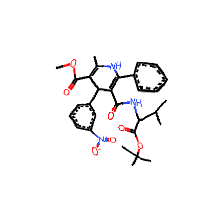 COC(=O)C1=C(C)NC(c2ccccc2)=C(C(=O)NC(C(=O)OC(C)(C)C)C(C)C)C1c1cccc([N+](=O)[O-])c1